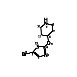 Brc1cnc(OC2CCNCC2)s1